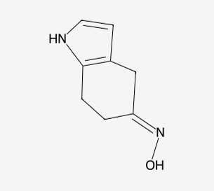 ON=C1CCc2[nH]ccc2C1